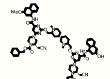 C=CC(=O)N1CCN(c2cc(C(=O)Nc3cc(O)cc4ccccc34)nc(OCC3CCCCN3C)n2)C[C@@H]1CC#N.COc1cc(NC(=O)c2cc(N3CCN(C(=O)OCc4ccccc4)[C@@H](CC#N)C3)nc(OCC3CCCCN3C)n2)c2ccccc2c1